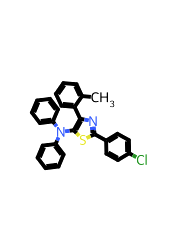 Cc1ccccc1-c1nc(-c2ccc(Cl)cc2)sc1N(c1ccccc1)c1ccccc1